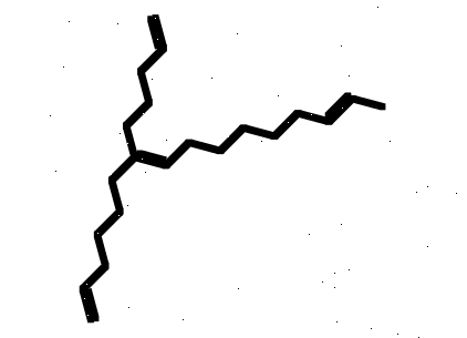 C=CCCCCC(=CCCCCCC=CC)CCCC=C